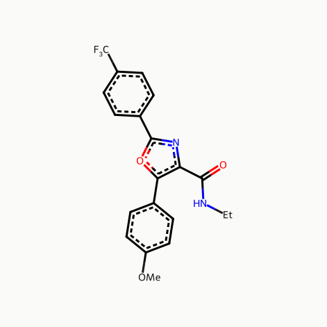 CCNC(=O)c1nc(-c2ccc(C(F)(F)F)cc2)oc1-c1ccc(OC)cc1